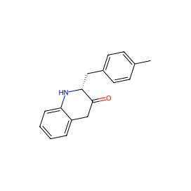 Cc1ccc(C[C@H]2Nc3ccccc3CC2=O)cc1